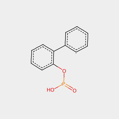 O=[P](O)Oc1ccccc1-c1[c]cccc1